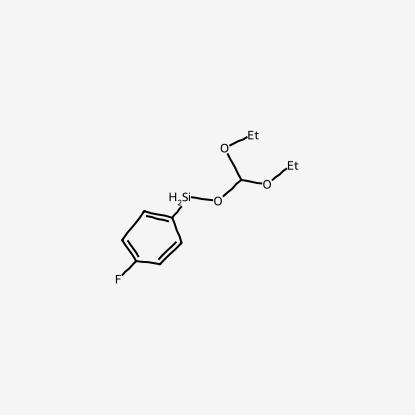 CCOC(OCC)O[SiH2]c1ccc(F)cc1